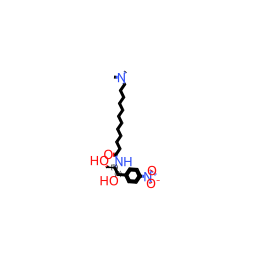 CN(C)CCCCCCCCCCCC(=O)N[C@H](CO)[C@H](O)c1ccc([N+](=O)[O-])cc1